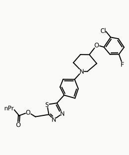 CCCC(=O)OCc1nnc(-c2ccc(N3CCC(Oc4cc(F)ccc4Cl)CC3)cc2)s1